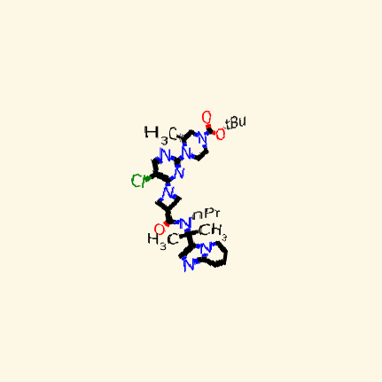 CCCN(C(=O)C1CN(c2nc(N3CCN(C(=O)OC(C)(C)C)C[C@@H]3C)ncc2Cl)C1)C(C)(C)c1cnc2ccccn12